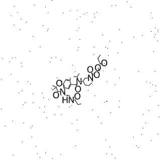 CCC(=O)NCCN1C(=O)C(C)(C)Oc2cc(C)c(C(=O)N(C(C)C)[C@@H]3CCCN(C(=O)O[C@@H](C)OC(=O)CC)C3)cc21